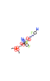 C=CCOP(=O)(OCC=C)OCCCC(=O)O[C@@](Cn1cncn1)(c1ccc(F)cc1F)[C@@H](C)S[C@H]1CO[C@H](/C=C/C=C/c2ccc(C#N)cc2F)OC1